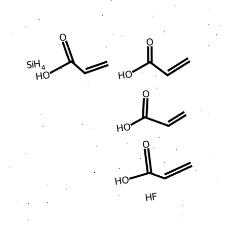 C=CC(=O)O.C=CC(=O)O.C=CC(=O)O.C=CC(=O)O.F.[SiH4]